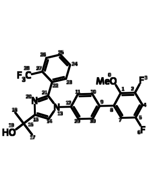 COc1c(F)cc(F)cc1-c1ccc(-n2cc(C(C)(C)O)nc2-c2ccccc2C(F)(F)F)cc1